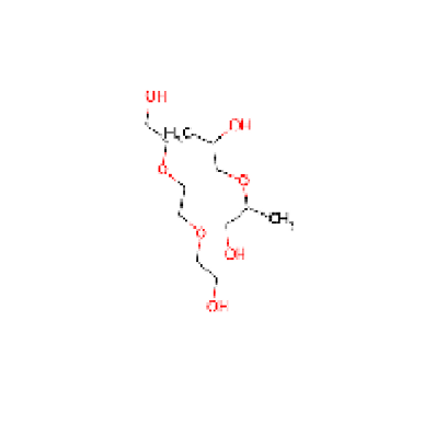 CC(O)COC(C)CO.OCCOCCOCCO